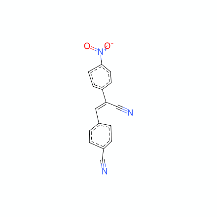 N#CC(=Cc1ccc(C#N)cc1)c1ccc([N+](=O)[O-])cc1